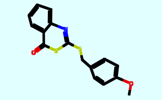 COc1ccc(CSc2nc3ccccc3c(=O)s2)cc1